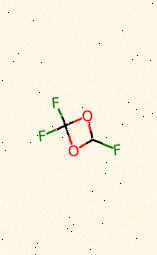 FC1OC(F)(F)O1